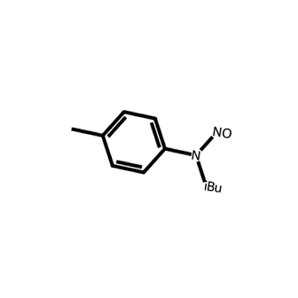 CCC(C)N(N=O)c1ccc(C)cc1